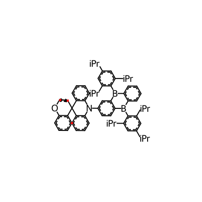 CC(C)c1cc(C(C)C)c(B2c3ccccc3B(c3c(C(C)C)cc(C(C)C)cc3C(C)C)c3cc(N4c5ccccc5C5(c6ccccc6Oc6ccccc65)c5ccccc54)ccc32)c(C(C)C)c1